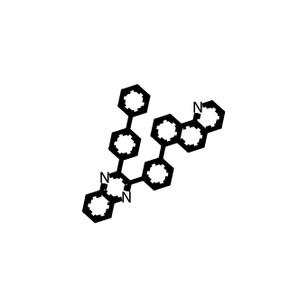 c1ccc(-c2ccc(-c3nc4ccccc4nc3-c3cccc(-c4cccc5c4ccc4cccnc45)c3)cc2)cc1